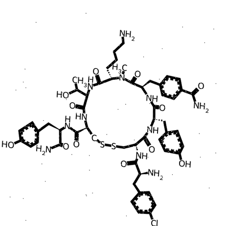 CC(O)C1NC(=O)[C@H](CCCCN)N(C)C(=O)[C@@H](Cc2ccc(C(N)=O)cc2)NC(=O)[C@H](Cc2ccc(O)cc2)NC(=O)[C@H](NC(=O)[C@@H](N)Cc2ccc(Cl)cc2)CSSC[C@@H](C(=O)N[C@H](Cc2ccc(O)cc2)C(N)=O)NC1=O